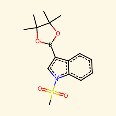 CC1(C)OB(c2cn(S(C)(=O)=O)c3ccccc23)OC1(C)C